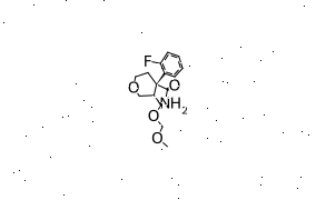 COCOC[C@H]1COCC[C@@]1(C(N)=O)c1ccccc1F